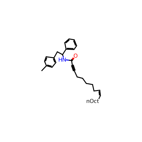 CCCCCCCC/C=C\CCCCCC#CC(=O)NC(Cc1ccc(C)cc1)c1ccccc1